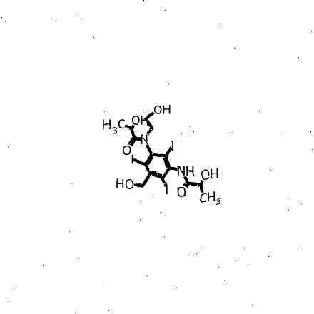 CC(O)C(=O)Nc1c(I)c(CO)c(I)c(N(CCO)C(=O)C(C)O)c1I